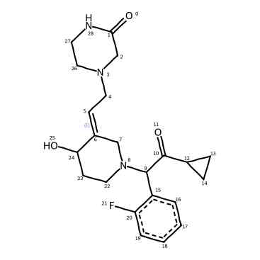 O=C1CN(C/C=C2\CN(C(C(=O)C3CC3)c3ccccc3F)CCC2O)CCN1